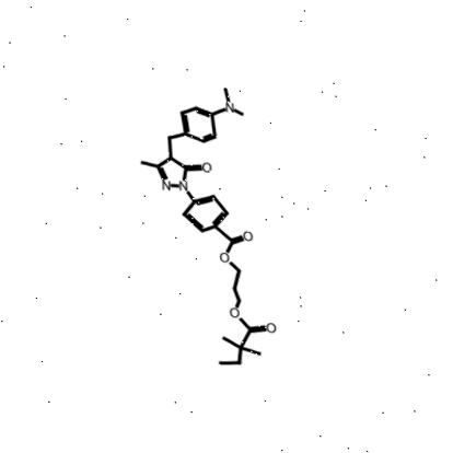 CCC(C)(C)C(=O)OCCCOC(=O)c1ccc(N2N=C(C)C(Cc3ccc(N(C)C)cc3)C2=O)cc1